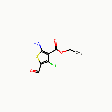 CCOC(=O)c1c(N)sc(C=O)c1Cl